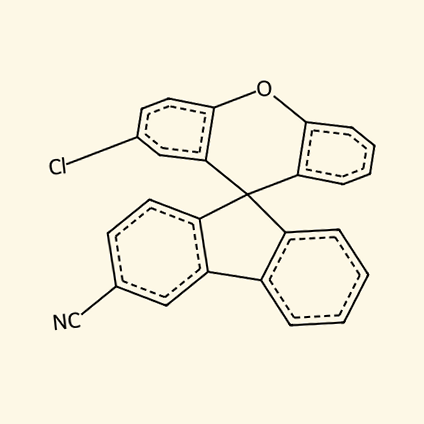 N#Cc1ccc2c(c1)-c1ccccc1C21c2ccccc2Oc2ccc(Cl)cc21